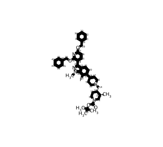 C[C@@H]1CN(C(=O)OC(C)(C)C)CC[C@@H]1CN1CC=C(c2ccc3c(-c4ccc(OCc5ccccc5)nc4OCc4ccccc4)nn(C)c3c2F)CC1